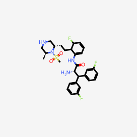 C[C@H]1CNC[C@H](CCC2C(NC(=O)[C@@H](N)C(c3cccc(F)c3)c3cccc(F)c3)=CC=CC2F)N1S(C)(=O)=O